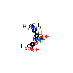 Cc1ccc(Oc2nc3cc(-c4cnc(N(C)C)nc4)c(Cl)cc3[nH]2)cc1C(=O)O.O=C(O)C(F)(F)F